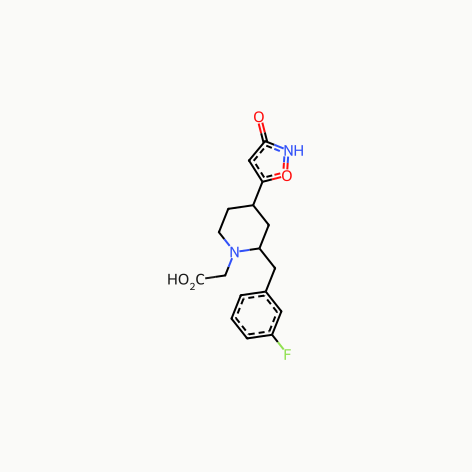 O=C(O)CN1CCC(c2cc(=O)[nH]o2)CC1Cc1cccc(F)c1